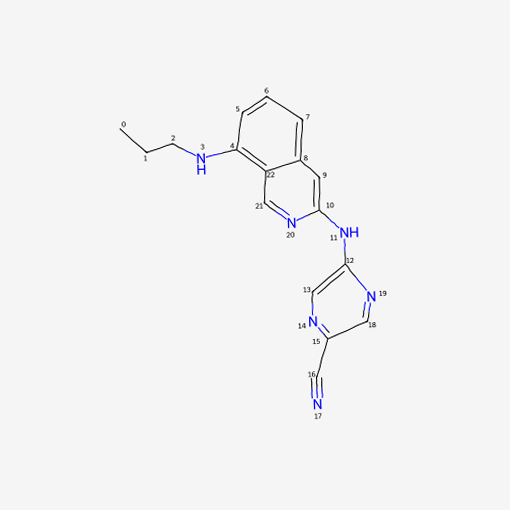 CCCNc1cccc2cc(Nc3cnc(C#N)cn3)ncc12